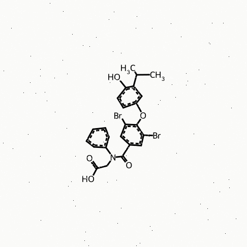 CC(C)c1cc(Oc2c(Br)cc(C(=O)N(CC(=O)O)c3ccccc3)cc2Br)ccc1O